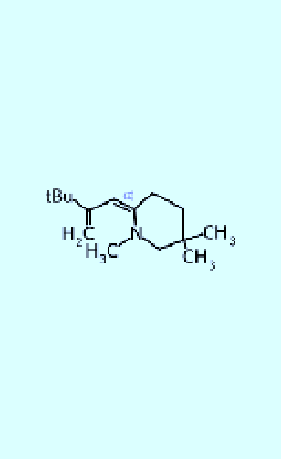 C=C(/C=C1/CCC(C)(C)CN1C)C(C)(C)C